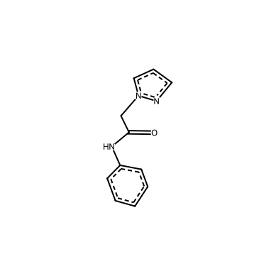 O=C(Cn1cccn1)Nc1ccccc1